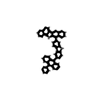 c1ccc(-c2c3ccccc3c(-c3ccc4oc5cc(-c6c7ccccc7cc7c6oc6c8ccccc8ccc76)ccc5c4c3)c3ccccc23)cc1